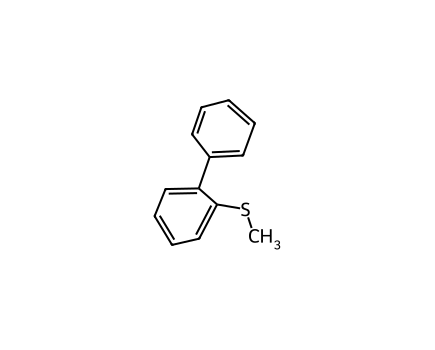 CSc1ccccc1-c1ccccc1